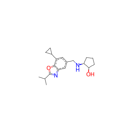 CC(C)c1nc2cc(CN[C@H]3CCC[C@H]3O)cc(C3CC3)c2o1